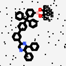 CC1(C)OB(c2cccc([Si](c3ccccc3)(c3ccccc3)c3ccc(-c4cccc(-c5cnc(-c6ccccc6)c(-c6ccccc6)n5)c4)cc3)c2)OC1(C)C